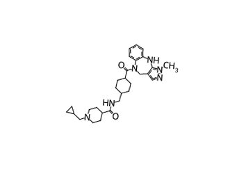 Cn1ncc2c1Nc1ccccc1N(C(=O)C1CCC(CNC(=O)C3CCN(CC4CC4)CC3)CC1)C2